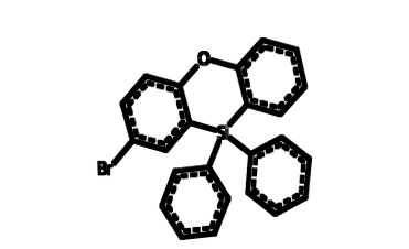 Brc1ccc2c(c1)[Si](c1ccccc1)(c1ccccc1)c1ccccc1O2